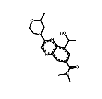 CC1CN(c2cnc3cc(C(=O)N(C)C)cc(C(C)O)c3n2)CCO1